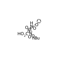 CCCCOC(=O)N1CC2[C@@H](NC(=O)COc3ccccc3)C(=O)N2C1C(=O)O